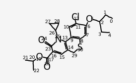 CCC(CC)Oc1cc2c(cc1Cl)-c1c(cc(C(=O)OC(C)C)c(=O)n1C1CC1)CS2